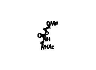 COCCOC(=O)NCNC(C)=O